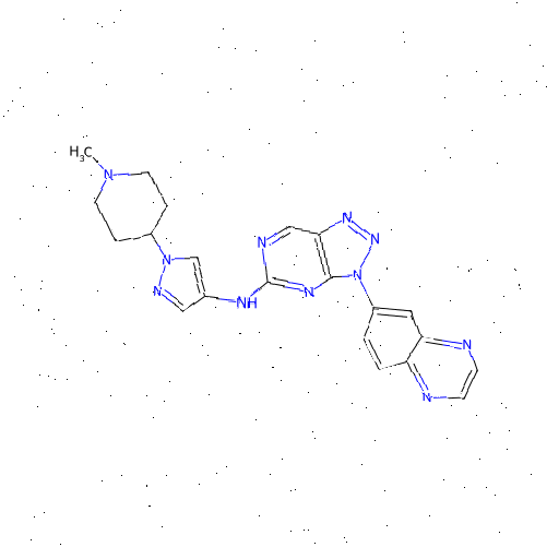 CN1CCC(n2cc(Nc3ncc4nnn(-c5ccc6nccnc6c5)c4n3)cn2)CC1